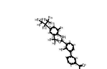 NC(=O)c1cccc(-c2cccc(C(=O)Nc3c(I)cc(C(F)(C(F)(F)F)C(F)(F)F)cc3C(F)(F)F)c2F)c1